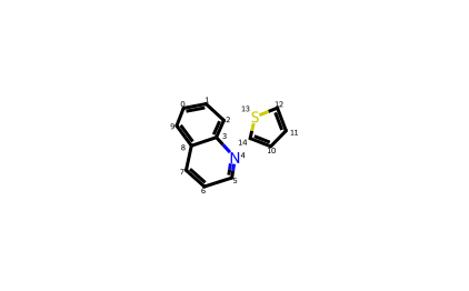 c1ccc2ncccc2c1.c1ccsc1